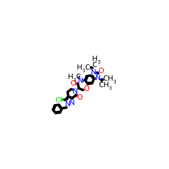 CC(C)n1c(=O)n(C(C)C)c2cc3c(cc21)OC[C@H](N1CCc2c(nn(Cc4ccccc4)c2Cl)C1=O)C(=O)N3C